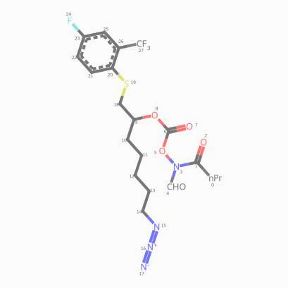 CCCC(=O)N(C=O)OC(=O)OC(CCCCCN=[N+]=[N-])CSc1ccc(F)cc1C(F)(F)F